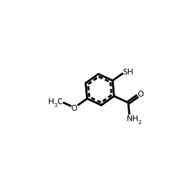 COc1ccc(S)c(C(N)=O)c1